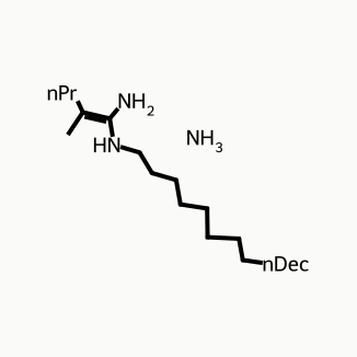 CCCCCCCCCCCCCCCCCCNC(N)=C(C)CCC.N